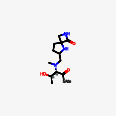 CNC(=O)[C@H]([C@@H](C)O)N(C)CC1CCC2(CNC2=O)N1